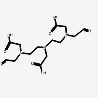 O=CCN(CCN(CCN(CC=O)CC(=O)O)CC(=O)O)CC(=O)O